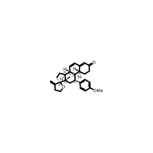 C=C1CCO[C@@]12CC[C@H]1[C@@H]3C=CC4=CC(=O)CC[C@@H]4[C@H]3[C@@H](c3ccc(OC)cc3)C[C@@]12C